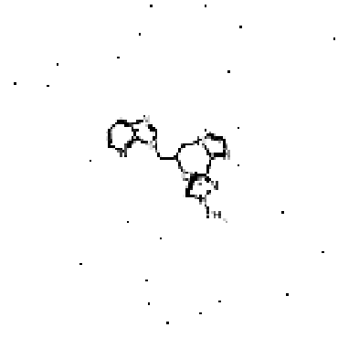 CC(Cn1ccnc1-c1ccn(C)n1)Cn1cnc2cccnc21